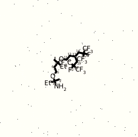 CCC(C)(N)OCCC(C)(CC)OCCC(CC(F)(C(F)(F)F)C(F)(F)F)CC(F)(C(F)(F)F)C(F)(F)F